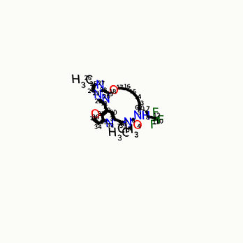 CCN1C(=O)N[C@@H](CCC(F)(F)F)CCCCCOc2nc(cn3cc(C)nc23)-c2cc(nc3ccoc23)C1C